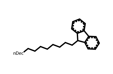 CCCCCCCCCCCCCCCCCCC1c2ccccc2-c2ccccc21